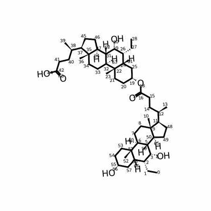 CC[C@H]1[C@@H](O)[C@@H]2[C@H](CC[C@]3(C)[C@@H]([C@H](C)CCC(=O)O[C@@H]4CC[C@@]5(C)[C@@H](C4)[C@@H](CC)[C@@H](O)[C@@H]4[C@@H]5CC[C@]5(C)[C@@H]([C@H](C)CCC(=O)O)CC[C@@H]45)CC[C@@H]23)[C@@]2(C)CC[C@@H](O)C[C@@H]12